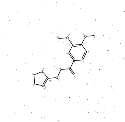 COc1ccc(C(=O)CSC2=NCCS2)cc1OC